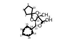 C[C@]1(C(=O)O)OC2(CCCC2)O[C@@H]1Cc1ccccc1